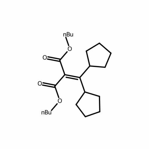 CCCCOC(=O)C(C(=O)OCCCC)=C(C1CCCC1)C1CCCC1